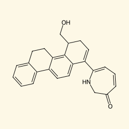 O=C1C=CC=C(C2=CCC(CO)c3c2ccc2c3CCc3ccccc3-2)NC1